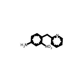 Nc1ccc(Cc2ccccn2)c([N+](=O)[O-])c1